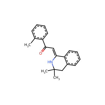 Cc1ccccc1C(=O)C=C1NC(C)(C)Cc2ccccc21